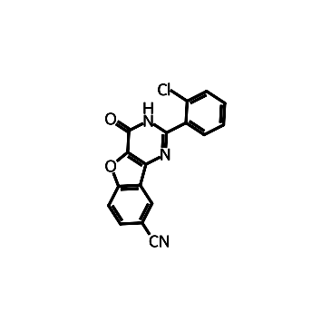 N#Cc1ccc2oc3c(=O)[nH]c(-c4ccccc4Cl)nc3c2c1